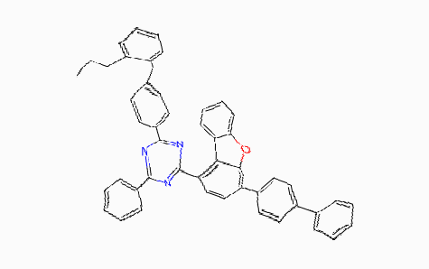 CCCc1ccccc1-c1ccc(-c2nc(-c3ccccc3)nc(-c3ccc(-c4ccc(-c5ccccc5)cc4)c4oc5ccccc5c34)n2)cc1